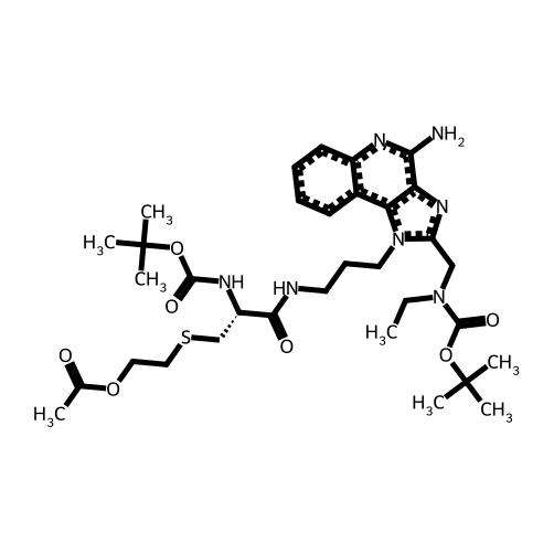 CCN(Cc1nc2c(N)nc3ccccc3c2n1CCCNC(=O)[C@H](CSCCOC(C)=O)NC(=O)OC(C)(C)C)C(=O)OC(C)(C)C